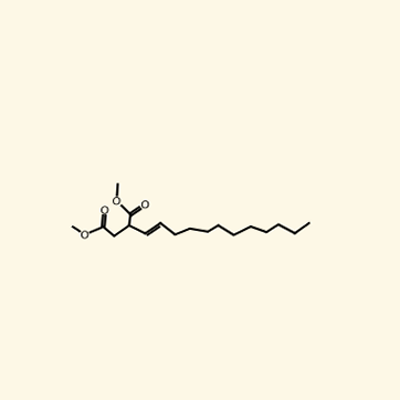 CCCCCCCCCCC=CC(CC(=O)OC)C(=O)OC